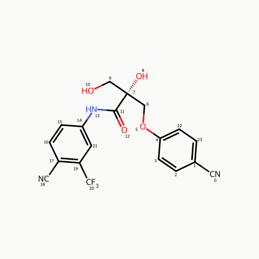 N#Cc1ccc(OC[C@](O)(CO)C(=O)Nc2ccc(C#N)c(C(F)(F)F)c2)cc1